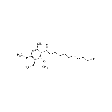 COc1cc(C)c(C(=O)CCCCCCCCCBr)c(OC)c1OC